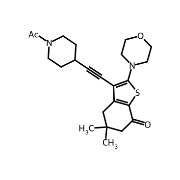 CC(=O)N1CCC(C#Cc2c(N3CCOCC3)sc3c2CC(C)(C)CC3=O)CC1